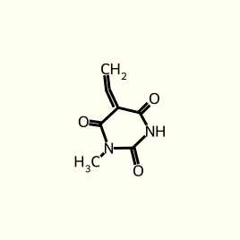 C=C=C1C(=O)NC(=O)N(C)C1=O